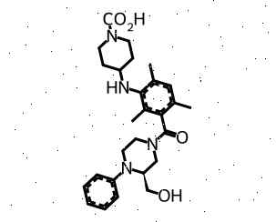 Cc1cc(C)c(C(=O)N2CCN(c3ccccc3)[C@H](CO)C2)c(C)c1NC1CCN(C(=O)O)CC1